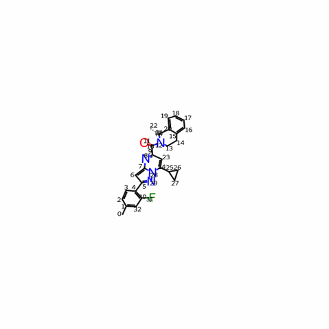 Cc1ccc(-c2cc3nc(C(=O)N4CCc5ccccc5[C@H]4C)cc(C4CC4)n3n2)c(F)c1